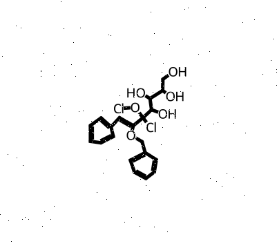 OCC(O)C(O)C(O)C(Cl)(OCl)C(=Cc1ccccc1)OCc1ccccc1